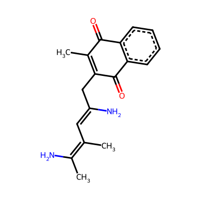 CC1=C(C/C(N)=C/C(C)=C(/C)N)C(=O)c2ccccc2C1=O